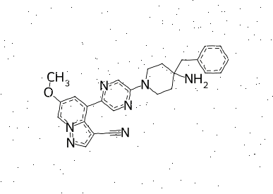 COc1cc(-c2cnc(N3CCC(N)(Cc4ccccc4)CC3)cn2)c2c(C#N)cnn2c1